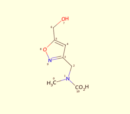 CN(Cc1cc(CO)on1)C(=O)O